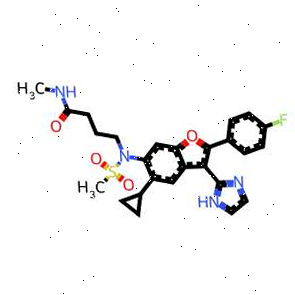 CNC(=O)CCCN(c1cc2oc(-c3ccc(F)cc3)c(-c3ncc[nH]3)c2cc1C1CC1)S(C)(=O)=O